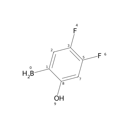 Bc1cc(F)c(F)cc1O